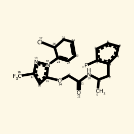 CC(Cc1ccccc1F)NC(=O)COc1cc(C(F)(F)F)nn1C1=CC=CCC1Cl